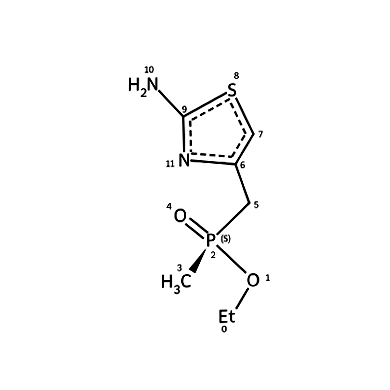 CCO[P@](C)(=O)Cc1csc(N)n1